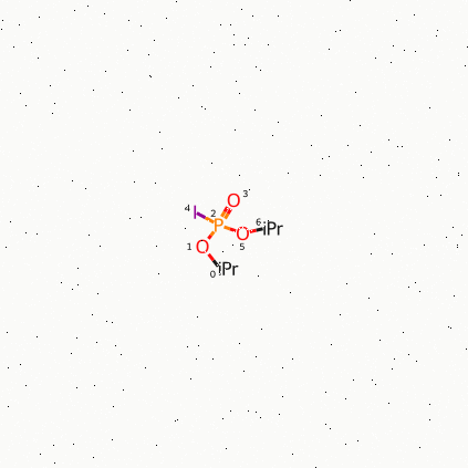 CC(C)OP(=O)(I)OC(C)C